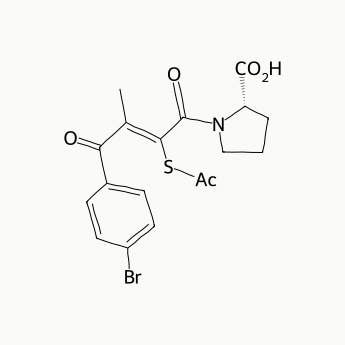 CC(=O)SC(C(=O)N1CCC[C@H]1C(=O)O)=C(C)C(=O)c1ccc(Br)cc1